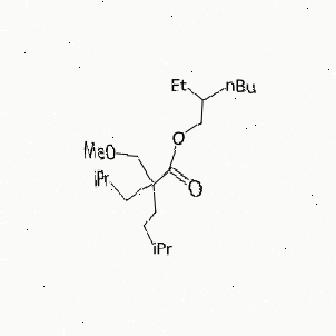 CCCCC(CC)COC(=O)C(CCC(C)C)(COC)CC(C)C